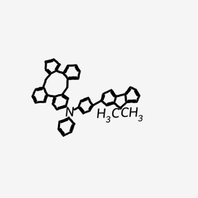 CC1(C)c2ccccc2-c2ccc(-c3ccc(N(c4ccccc4)c4ccc5c(c4)Cc4ccccc4-c4ccccc4Cc4ccccc4-5)cc3)cc21